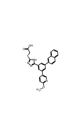 COc1ccc(-c2cc(-c3ccc4ccccc4c3)cc(-c3nnc(SCC(=O)O)[nH]3)c2)cn1